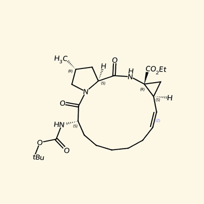 CCOC(=O)[C@@]12C[C@H]1/C=C\CCCCC[C@H](NC(=O)OC(C)(C)C)C(=O)N1C[C@H](C)C[C@H]1C(=O)N2